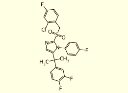 CC(C)(c1ccc(F)c(F)c1)c1cnc(S(=O)(=O)Cc2ccc(F)cc2Cl)n1-c1ccc(F)cc1